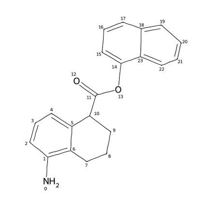 Nc1cccc2c1CCCC2C(=O)Oc1cccc2ccccc12